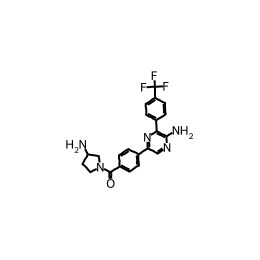 Nc1ncc(-c2ccc(C(=O)N3CCC(N)C3)cc2)nc1-c1ccc(C(F)(F)F)cc1